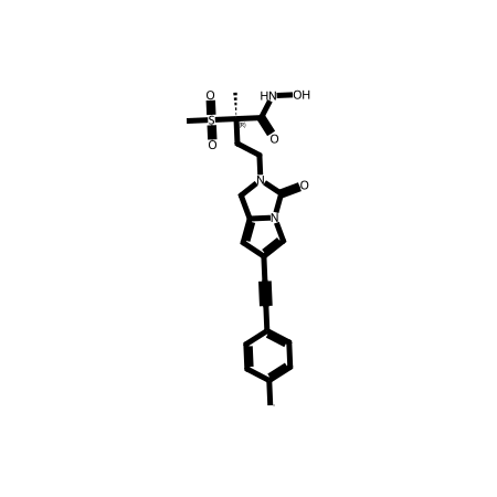 [CH2]c1ccc(C#Cc2cc3n(c2)C(=O)N(CC[C@](C)(C(=O)NO)S(C)(=O)=O)C3)cc1